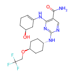 NC(=O)c1cnc(N[C@H]2CC[C@H](OCC(F)(F)F)CC2)nc1NC1=CCC[C@H](O)C1